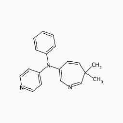 CC1(C)C=CC(N(c2ccccc2)c2ccncc2)=CN=C1